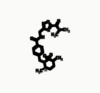 CC1CC[C@H](C)N(Cc2ccc(C(=O)NCc3noc(C(=O)N(C)C)n3)cc2)S1(=O)=O